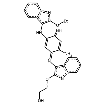 CCOc1nn2ccccc2c1NC1=C/C(=N/c2c(OCCO)nn3ccccc23)C(N)=CC1=N